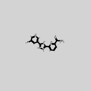 NC(=O)c1cccc(-c2nnc(-c3cncc(F)c3)s2)n1